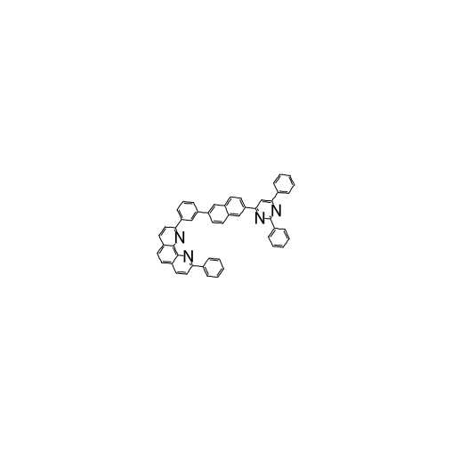 c1ccc(-c2cc(-c3ccc4cc(-c5cccc(-c6ccc7ccc8ccc(-c9ccccc9)nc8c7n6)c5)ccc4c3)nc(-c3ccccc3)n2)cc1